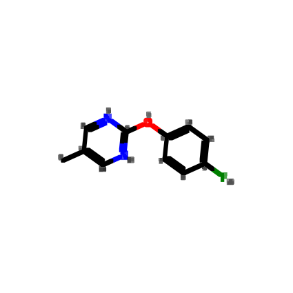 Cc1cnc(Oc2ccc(F)cc2)nc1